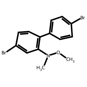 CON(C)c1cc(Br)ccc1-c1ccc(Br)cc1